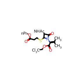 CCCOC(=O)CCSC1C(NC(C)=O)C(=O)N1C(C(=O)OCC(Cl)(Cl)Cl)=C(C)C